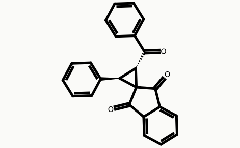 O=C(c1ccccc1)[C@H]1[C@H](c2ccccc2)C12C(=O)c1ccccc1C2=O